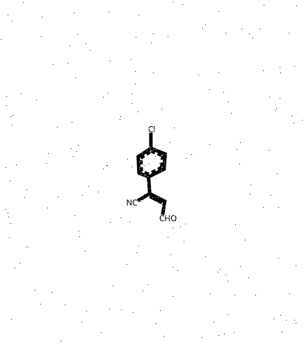 N#CC(=CC=O)c1ccc(Cl)cc1